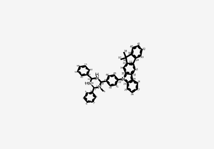 CN1C(c2ccccc2)NC(c2ccccc2)NC1c1ccc(-n2c3ccccc3c3cc4c(cc32)C(C)(C)c2ccccc2-4)cc1